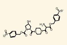 NC(C(=O)OCc1ccc([N+](=O)[O-])cc1)C(=O)N1CCN(C(=O)[C@@H]2C[C@H](S)CN2C(=O)OCc2ccc([N+](=O)[O-])cc2)CC1